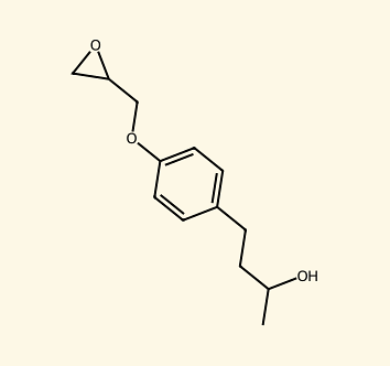 CC(O)CCc1ccc(OCC2CO2)cc1